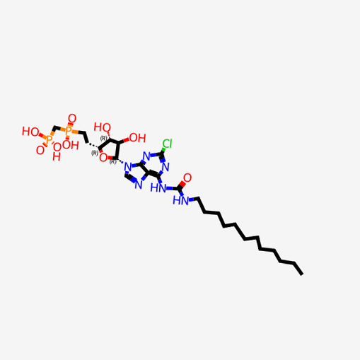 CCCCCCCCCCCCNC(=O)Nc1nc(Cl)nc2c1ncn2[C@@H]1O[C@H](CCP(=O)(O)CP(=O)(O)O)[C@H](O)C1O